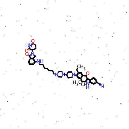 CCc1cc2c(cc1N1CCC(N3CCN(CCCCCCCNc4cccc5c4CN(C4CCC(=O)NC4=O)C5=O)CC3)CC1)C(C)(C)c1[nH]c3cc(C#N)ccc3c1C2=O